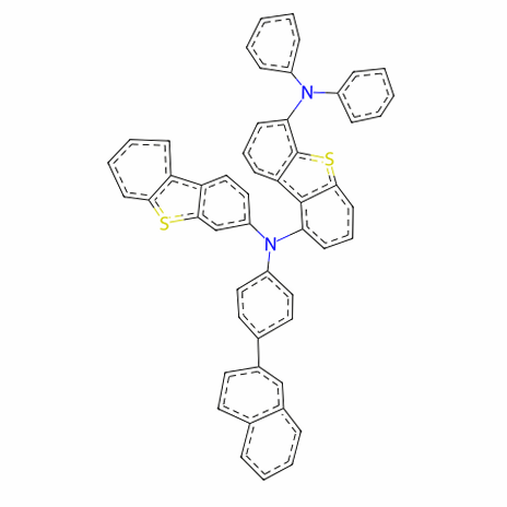 c1ccc(N(c2ccccc2)c2cccc3c2sc2cccc(N(c4ccc(-c5ccc6ccccc6c5)cc4)c4ccc5c(c4)sc4ccccc45)c23)cc1